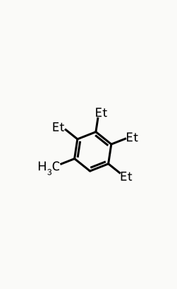 CCc1cc(C)c(CC)c(CC)c1CC